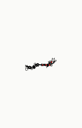 CC1(C)[C@H](Oc2ccc(C#N)c(Cl)c2)C(C)(C)[C@H]1N1Cc2cc(C#CC3CN(C4CC5(C4)CN(c4cc6c(cc4F)C(=O)N(C4CCC(=O)NC4=O)C6=O)C5)C3)ccc2C1=O